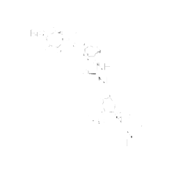 CC(C)Oc1cc(CNC(=O)Nc2nc(C(C)(C)c3ccc(Br)cc3)cs2)ccc1N1CCNCC1